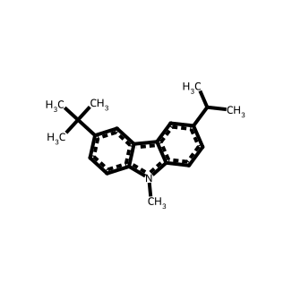 CC(C)c1ccc2c(c1)c1cc(C(C)(C)C)ccc1n2C